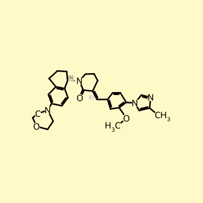 COc1cc(/C=C2\CCCN([C@H]3CCCc4cc(N5CCOCC5)ccc43)C2=O)ccc1-n1cnc(C)c1